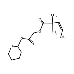 C/C=C\C(C)(C)C(=O)OCC(=O)OC1CCCCO1